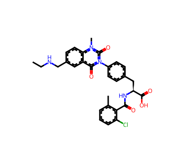 CCNCc1ccc2c(c1)c(=O)n(-c1ccc(C[C@H](NC(=O)c3c(C)cccc3Cl)C(=O)O)cc1)c(=O)n2C